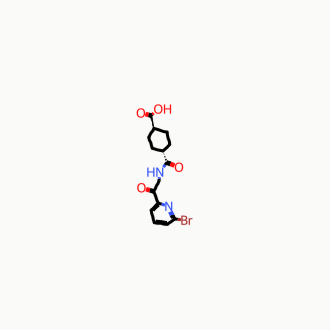 O=C(CNC(=O)[C@H]1CC[C@H](C(=O)O)CC1)c1cccc(Br)n1